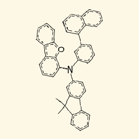 CC1(C)c2ccccc2-c2ccc(N(c3cccc(-c4cccc5ccccc45)c3)c3cccc4c3oc3ccccc34)cc21